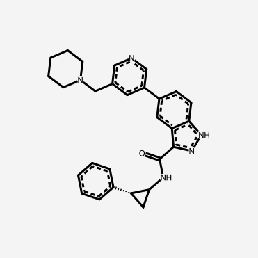 O=C(NC1C[C@@H]1c1ccccc1)c1n[nH]c2ccc(-c3cncc(CN4CCCCC4)c3)cc12